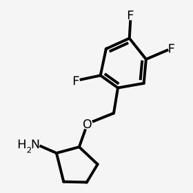 NC1CCCC1OCc1cc(F)c(F)cc1F